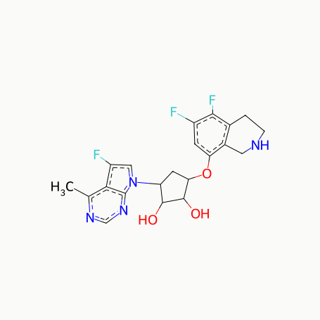 Cc1ncnc2c1c(F)cn2C1CC(Oc2cc(F)c(F)c3c2CNCC3)C(O)C1O